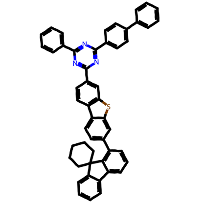 c1ccc(-c2ccc(-c3nc(-c4ccccc4)nc(-c4ccc5c(c4)sc4cc(-c6cccc7c6C6(CCCCC6)c6ccccc6-7)ccc45)n3)cc2)cc1